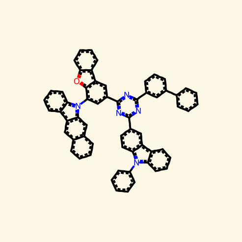 c1ccc(-c2cccc(-c3nc(-c4cc(-n5c6ccccc6c6cc7ccccc7cc65)c5oc6ccccc6c5c4)nc(-c4ccc5c(c4)c4ccccc4n5-c4ccccc4)n3)c2)cc1